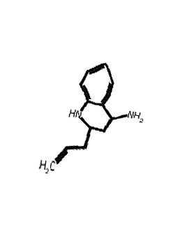 C=CCC1CC(N)c2ccccc2N1